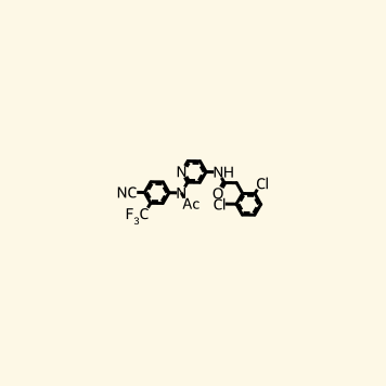 CC(=O)N(c1ccc(C#N)c(C(F)(F)F)c1)c1cc(NC(=O)Cc2c(Cl)cccc2Cl)ccn1